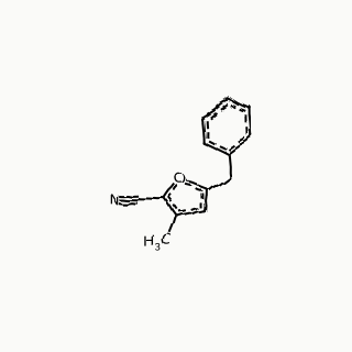 Cc1cc(Cc2ccccc2)oc1C#N